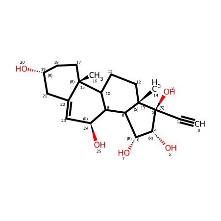 C#C[C@]1(O)[C@H](O)[C@H](O)C2C3C(CC[C@@]21C)[C@@]1(C)CC[C@@H](O)CC1=C[C@@H]3O